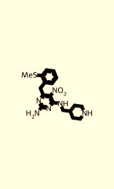 CSc1ccccc1Cc1nc(N)nc(NCC2CCNCC2)c1[N+](=O)[O-]